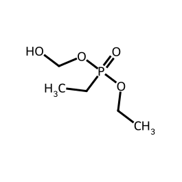 CCOP(=O)(CC)OCO